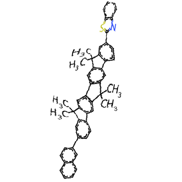 CC1(C)c2cc(-c3ccc4ccccc4c3)ccc2-c2cc3c(cc21)-c1cc2c(cc1C3(C)C)-c1ccc(-c3nc4ccccc4s3)cc1C2(C)C